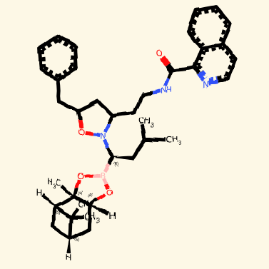 CC(C)C[C@@H](B1O[C@@H]2C[C@@H]3C[C@@H](C3(C)C)[C@]2(C)O1)N1OC(Cc2ccccc2)CC1CCNC(=O)c1nccc2ccccc12